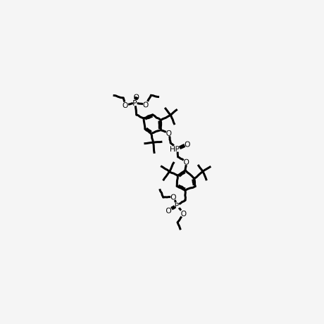 CCOP(=O)(Cc1cc(C(C)(C)C)c(OC[PH](=O)COc2c(C(C)(C)C)cc(CP(=O)(OCC)OCC)cc2C(C)(C)C)c(C(C)(C)C)c1)OCC